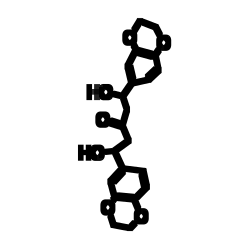 O=C(CC(O)c1ccc2c(c1)OCCO2)CC(O)c1ccc2c(c1)OCCO2